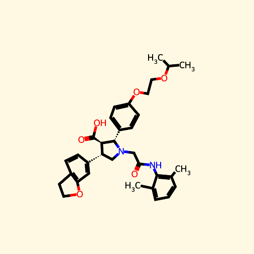 Cc1cccc(C)c1NC(=O)CN1C[C@H](c2ccc3c(c2)OCC3)[C@@H](C(=O)O)[C@@H]1c1ccc(OCCOC(C)C)cc1